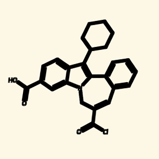 O=C(Cl)C1=Cc2ccccc2-c2c(C3CCCCC3)c3ccc(C(=O)O)cc3n2C1